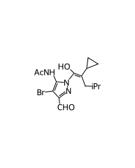 CC(=O)Nc1c(Br)c(C=O)nn1/C(O)=C(\CC(C)C)C1CC1